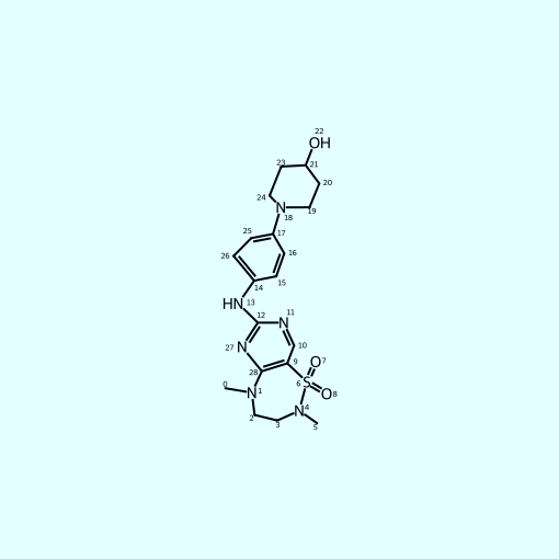 CN1CCN(C)S(=O)(=O)c2cnc(Nc3ccc(N4CCC(O)CC4)cc3)nc21